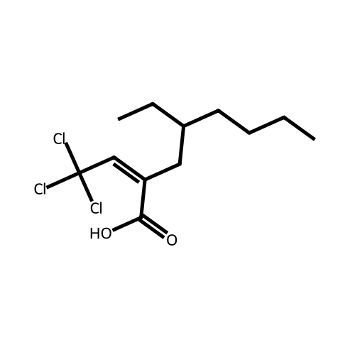 CCCCC(CC)CC(=CC(Cl)(Cl)Cl)C(=O)O